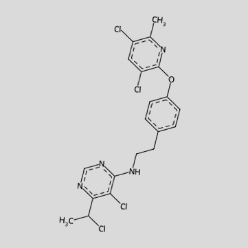 Cc1nc(Oc2ccc(CCNc3ncnc(C(C)Cl)c3Cl)cc2)c(Cl)cc1Cl